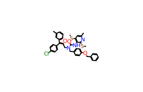 CSc1cc(C)nc(SC)c1NC(=O)N(Cc1ccc(OCc2ccccc2)cc1)Cc1oc2ccc(C)cc2c1-c1ccc(Cl)cc1